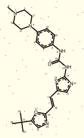 CN1CCN(c2ccc(NC(=O)Nc3ncc(/C=C/c4ncc(C(C)(C)C)o4)s3)cc2)CC1